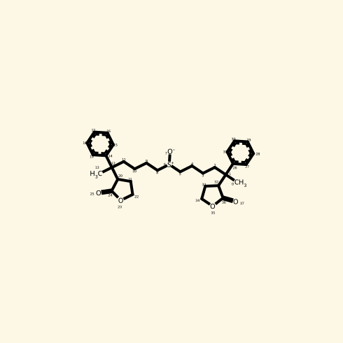 CC(CCCC[S+]([O-])CCCCC(C)(c1ccccc1)C1CCOC1=O)(c1ccccc1)C1CCOC1=O